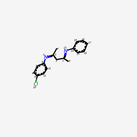 CC(CC(C)=Nc1ccc(Cl)cc1)=Nc1ccccc1